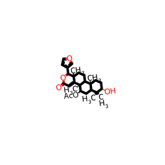 CC(=O)O[C@@H]1CC2C(C)(C)[C@@H](O)CC[C@]2(C)C2CC[C@]3(C)C(=CC(=O)OC3c3ccoc3)[C@@]21C